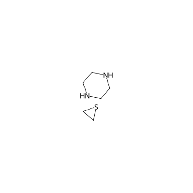 C1CNCCN1.C1CS1